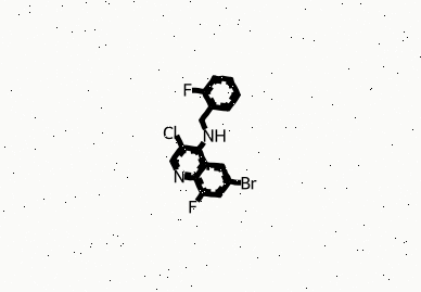 Fc1ccccc1CNc1c(Cl)cnc2c(F)cc(Br)cc12